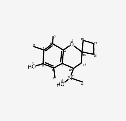 Cc1c(C)c2c(c(C)c1O)C(N(C)O)CC1(CCC1)O2